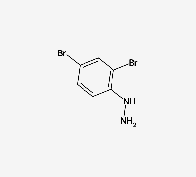 NNc1ccc(Br)cc1Br